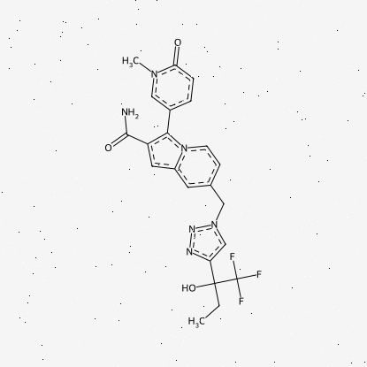 CCC(O)(c1cn(Cc2ccn3c(-c4ccc(=O)n(C)c4)c(C(N)=O)cc3c2)nn1)C(F)(F)F